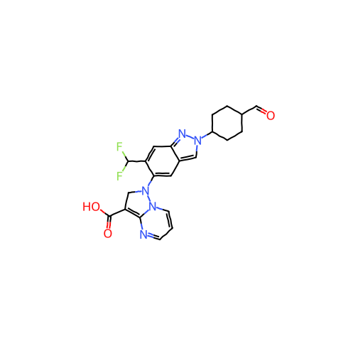 O=CC1CCC(n2cc3cc(N4CC(C(=O)O)=C5N=CC=CN54)c(C(F)F)cc3n2)CC1